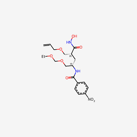 C=CCOC[C@@H](C[C@@H](COCOCC)NC(=O)c1ccc([N+](=O)[O-])cc1)C(=O)NO